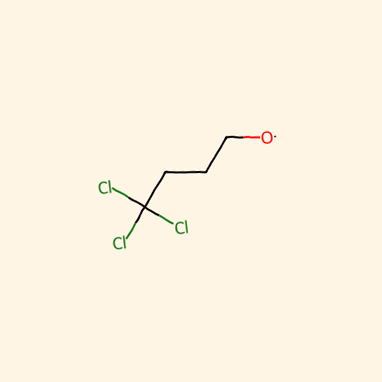 [O]CCCC(Cl)(Cl)Cl